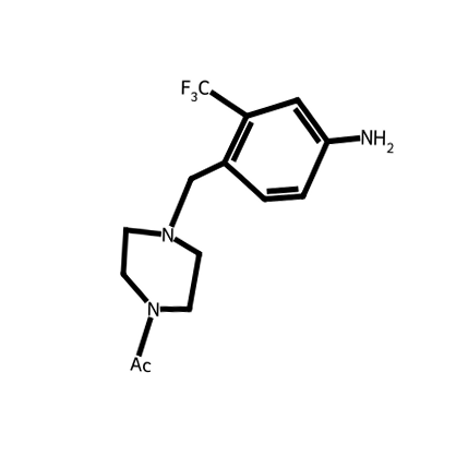 CC(=O)N1CCN(Cc2ccc(N)cc2C(F)(F)F)CC1